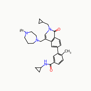 Cc1ccc(C(=O)NC2CC2)cc1-c1ccc2c(=O)n(CC3CC3)cc(CN3CCCN(C(C)C)CC3)c2c1